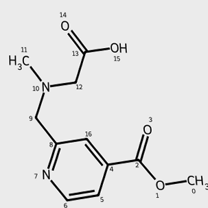 COC(=O)c1ccnc(CN(C)CC(=O)O)c1